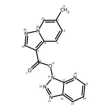 Cc1ccc2c(C(=O)On3nnc4cccnc43)cnn2c1